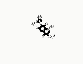 C[C@@H]1[C@@H](N)CN1c1c(F)cc2c(=O)c(C(=O)O)cn(C(C)(C)C)c2c1Cl